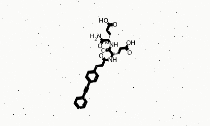 NC(=O)[C@H](CCC(=O)O)NC(=O)[C@H](CCC(=O)O)NC(=O)CCc1ccc(C#Cc2ccccc2)cc1